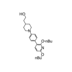 CCCCOc1ccc(-c2ccc(N3CCC(CCO)CC3)cc2)c(OCCCC)n1